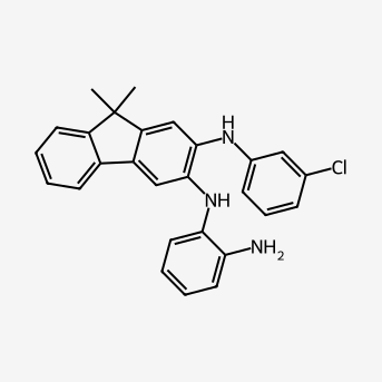 CC1(C)c2ccccc2-c2cc(Nc3ccccc3N)c(Nc3cccc(Cl)c3)cc21